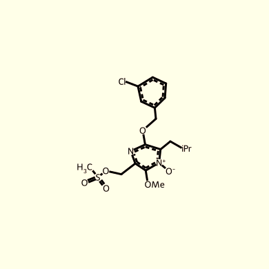 COc1c(COS(C)(=O)=O)nc(OCc2cccc(Cl)c2)c(CC(C)C)[n+]1[O-]